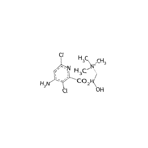 C[N+](C)(C)CCO.Nc1cc(Cl)nc(C(=O)O)c1Cl